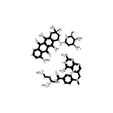 CN(Cc1cnc2nc(N)nc(N)c2n1)c1ccc(C(=O)N[C@@H](CCC(=O)O)C(=O)O)cc1.COc1cccc2c1C(=O)c1c(O)c3c(c(O)c1C2=O)C[C@@](O)(C(C)=O)C[C@@H]3O[C@H]1C[C@H](N)[C@H](O)[C@H](C)O1